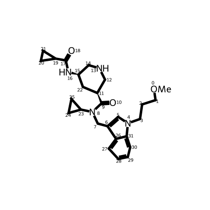 COCCCn1cc(CN(C(=O)[C@@H]2CNC[C@H](NC(=O)C3CC3)C2)C2CC2)c2ccccc21